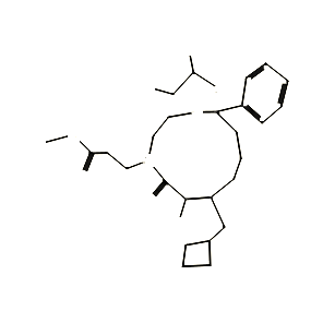 CCC(C)C[C@]1(c2ccccc2)CCCC(CC2CCC2)C(C)C(=O)N(CCC(=O)NC)CCC1